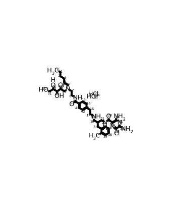 CCCCCCN(CCNC(=O)c1ccc(CCNCC(CNC(=O)c2nc(Cl)c(N)nc2N)Cc2ccccc2C)cc1)CC(O)C(O)C(O)CO.Cl.Cl